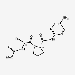 Bc1cnc(NC(=O)[C@@H]2CCCN2C(=O)[C@@H](NC(=O)OC)C(C)C)nc1